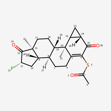 CC(=O)SC1=C2CC[C@H]3[C@@H]4C[C@H](F)C(=O)[C@@]4(C)CC[C@@H]3[C@@]2(C)C2C[C@@H]2C1=O